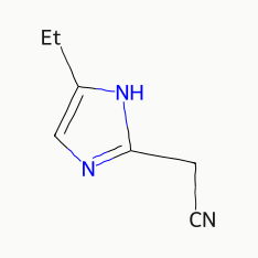 CCc1cnc(CC#N)[nH]1